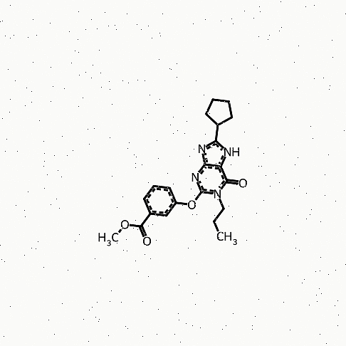 CCCn1c(Oc2cccc(C(=O)OC)c2)nc2nc(C3CCCC3)[nH]c2c1=O